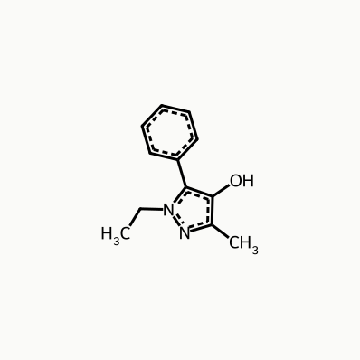 CCn1nc(C)c(O)c1-c1ccccc1